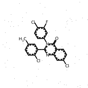 Cc1ccc(Cl)c(-c2nc3cc(Cl)ccc3c(=O)n2-c2ccc(Cl)c(F)c2)c1